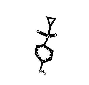 Nc1ccc(S(=O)(=O)C2CC2)cc1